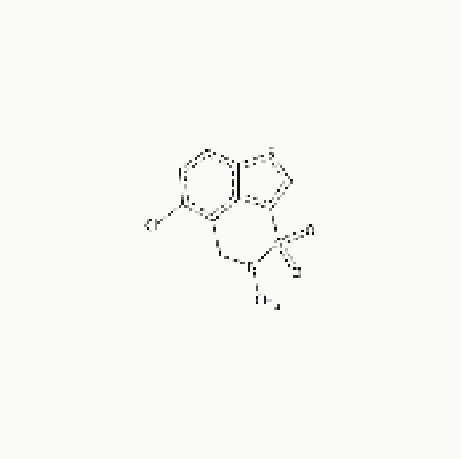 CN1Cc2c(Cl)ccc3scc(c23)S1(=O)=O